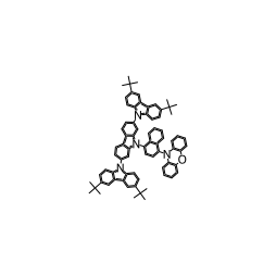 CC(C)(C)c1ccc2c(c1)c1cc(C(C)(C)C)ccc1n2-c1ccc2c3ccc(-n4c5ccc(C(C)(C)C)cc5c5cc(C(C)(C)C)ccc54)cc3n(-c3ccc(N4c5ccccc5Oc5ccccc54)c4ccccc34)c2c1